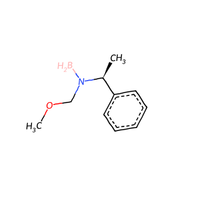 BN(COC)[C@@H](C)c1ccccc1